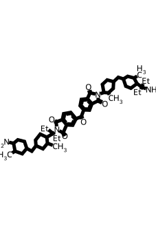 CCC(N)(CC)C1CCC(CC2CCC(N3C(=O)c4ccc(C(=O)c5ccc6c(c5)C(=O)N(C(CC)(CC)C5CCC(CC7CCC(N)C(C)C7)CC5C)C6=O)cc4C3=O)C(C)C2)CC1C